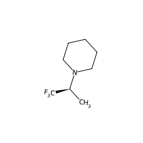 C[C@H](N1CCCCC1)C(F)(F)F